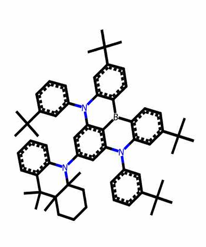 CC(C)(C)c1cccc(N2c3cc(C(C)(C)C)ccc3B3c4ccc(C(C)(C)C)cc4N(c4cccc(C(C)(C)C)c4)c4cc(N5c6ccccc6C(C)(C)C6(C)CCCCC56C)cc2c43)c1